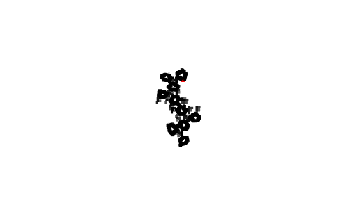 Fc1cccc(N(c2ccc3c(c2)c2ccccc2n3-c2ccccc2)c2c(F)c(F)c(-c3c(F)c(F)c(N(c4cccc(F)c4)c4ccc5c(c4)c4ccccc4n5-c4ccccc4)c(F)c3F)c(F)c2F)c1